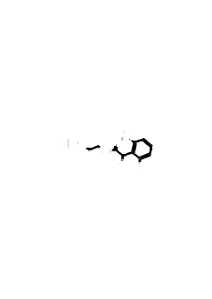 CCCOC(=O)C(SC)c1c(N)cccc1Br